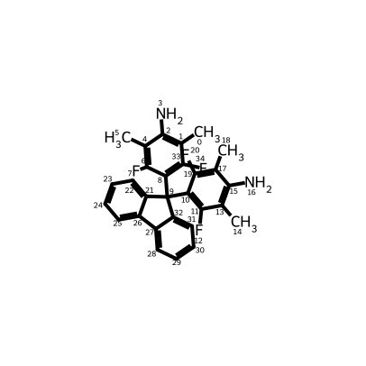 Cc1c(N)c(C)c(F)c(C2(c3c(F)c(C)c(N)c(C)c3F)c3ccccc3-c3ccccc32)c1F